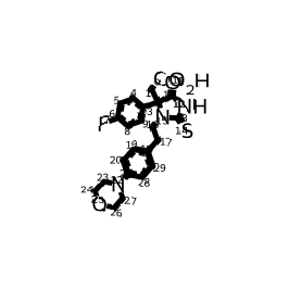 O=C(O)CC1(c2ccc(F)cc2)C(=O)NC(=S)N1CCc1ccc(N2CCOCC2)cc1